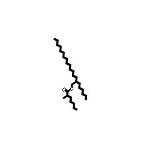 CCCCCCCCCCCCCCC(CCCCCC)COC(=O)C(C)CCCCC